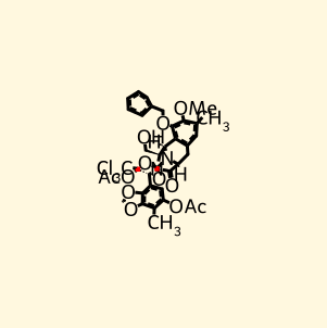 COc1c(C)cc2c(c1OCc1ccccc1)[C@@H]1[C@H](CO)N([C@@H](COC(C)=O)c3cc(OC(C)=O)c(C)c4c3OCO4)C(=O)[C@H](C2)N1C(=O)OCC(Cl)(Cl)Cl